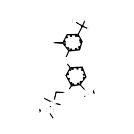 C[PH](=O)[N+](C)(C)COc1cc(Oc2ccc(C(F)(F)F)cc2Cl)ccc1[N+](=O)[O-]